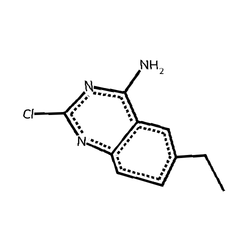 CCc1ccc2nc(Cl)nc(N)c2c1